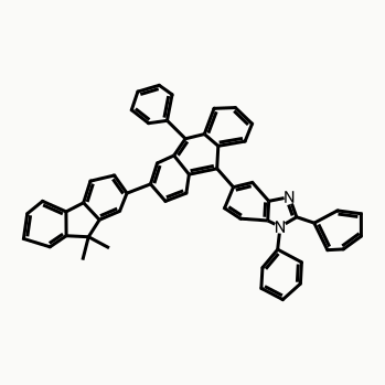 CC1(C)c2ccccc2-c2ccc(-c3ccc4c(-c5ccc6c(c5)nc(-c5ccccc5)n6-c5ccccc5)c5ccccc5c(-c5ccccc5)c4c3)cc21